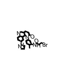 Cc1ccc(-n2c(=O)ccc3cnc4ccc(-n5cccn5)cc4c32)cc1NC(=O)CCBr